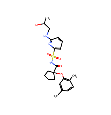 Cc1ccc(C)c(OC2(C(=O)NS(=O)(=O)c3cccc(NCC(C)O)n3)CCCC2)c1